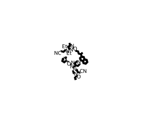 C=CC(=O)N1CCN(c2nc(OC[C@H]3CCCN3C)nc3c2CCN(c2cc(C(C)CCCOc4nc(C)c(CC)c(N(CC)CCCC#N)n4)cc4ccccc24)C3)CC1CC#N